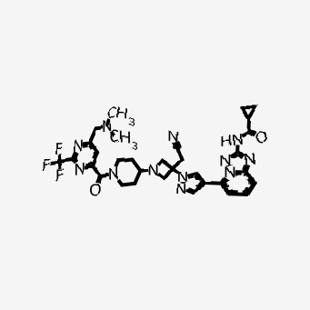 CN(C)Cc1cc(C(=O)N2CCC(N3CC(CC#N)(n4cc(-c5cccc6nc(NC(=O)C7CC7)nn56)cn4)C3)CC2)nc(C(F)(F)F)n1